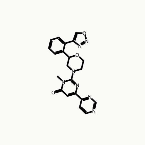 Cn1c(N2CCOC(c3ccccc3-c3conn3)C2)nc(-c2ccncn2)cc1=O